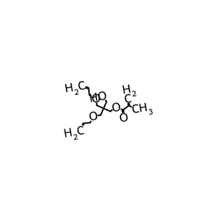 C=CCOCC(CO)(COCC=C)COC(=O)C(=C)C